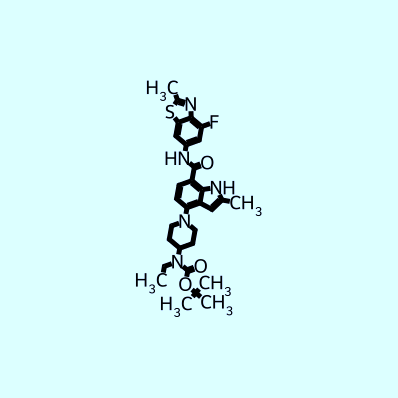 CCN(C(=O)OC(C)(C)C)C1CCN(c2ccc(C(=O)Nc3cc(F)c4nc(C)sc4c3)c3[nH]c(C)cc23)CC1